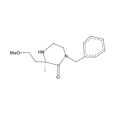 COCC[C@@]1(C)NCCN(Cc2ccccc2)C1=O